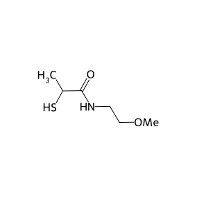 COCCNC(=O)C(C)S